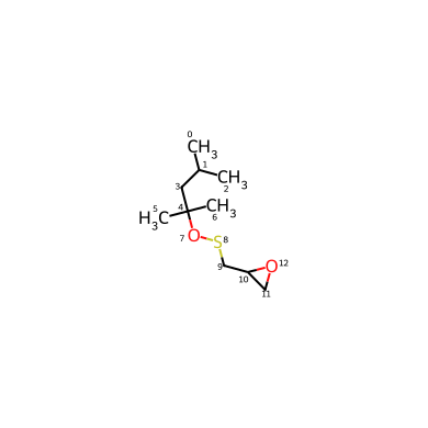 CC(C)CC(C)(C)OSCC1CO1